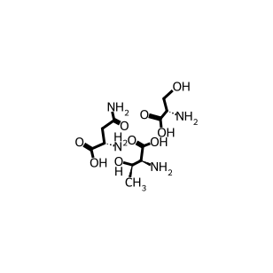 C[C@@H](O)[C@H](N)C(=O)O.NC(=O)C[C@H](N)C(=O)O.N[C@@H](CO)C(=O)O